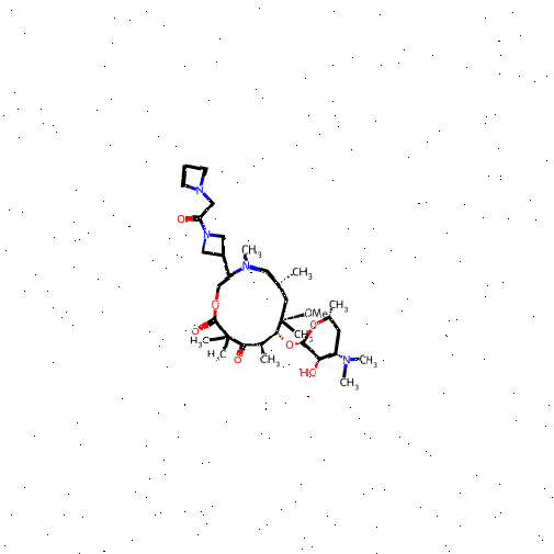 CO[C@]1(C)C[C@@H](C)CN(C)C(C2CN(C(=O)CN3CCC3)C2)COC(=O)C(C)(C)C(=O)[C@H](C)[C@H]1O[C@@H]1O[C@H](C)C[C@H](N(C)C)[C@H]1O